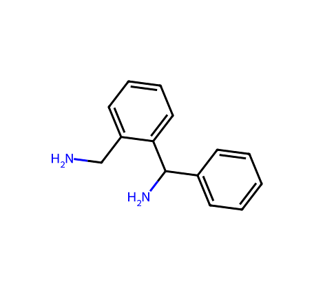 NCc1ccccc1C(N)c1ccccc1